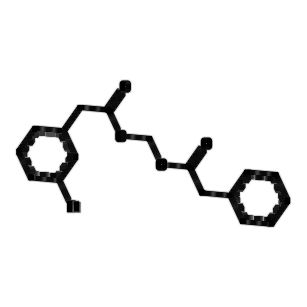 CCc1cccc(CC(=O)OCOC(=O)Cc2ccccc2)c1